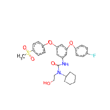 CS(=O)(=O)c1ccc(Oc2cc(NC(=O)N(CCO)C3CCCCC3)cc(Oc3ccc(F)cc3)c2)cc1